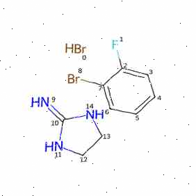 Br.Fc1ccccc1Br.N=C1NCCN1